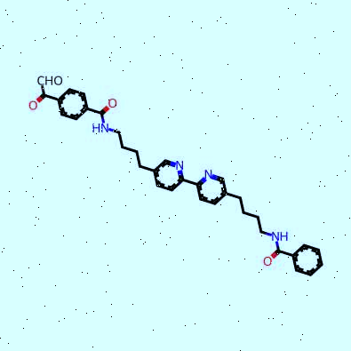 O=CC(=O)c1ccc(C(=O)NCCCCc2ccc(-c3ccc(CCCCNC(=O)c4ccccc4)cn3)nc2)cc1